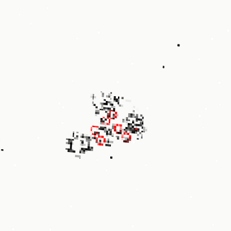 CC1CC2CCCC(C(=O)OCC3(COC(=O)C45CC6CC(CC(C6)C4)C5)COC(C4CC5CCCC(C5)C4)OC3)(C1)C2